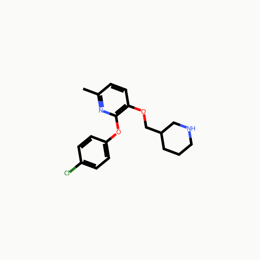 Cc1ccc(OCC2CCCNC2)c(Oc2ccc(Cl)cc2)n1